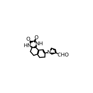 O=Cc1ccn(C2=CC3=C(CC2)CCc2[nH]c(=O)c(=O)[nH]c23)c1